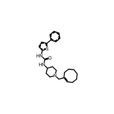 O=C(Nc1ccc(-c2ccccc2)s1)NC1CCN(CC2=CCCCCCC2)CC1